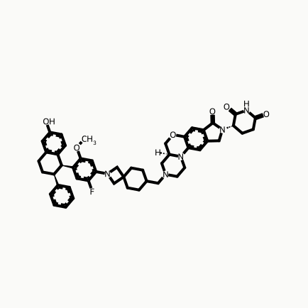 COc1cc(N2CC3(CCC(CN4CCN5c6cc7c(cc6OC[C@@H]5C4)C(=O)N([C@H]4CCC(=O)NC4=O)C7)CC3)C2)c(F)cc1[C@@H]1c2ccc(O)cc2CC[C@@H]1c1ccccc1